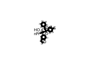 CCCC#CC(Oc1ccc2ccoc2c1)(c1ccc(F)cc1)C(OC)(C(=O)O)c1ccccc1